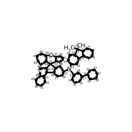 CC1(C)c2ccccc2-c2cc(N(c3cccc(-c4ccccc4)c3)c3ccc4c(c3)C3(c5ccccc5Oc5ccccc53)c3ccc5ccccc5c3-4)ccc21